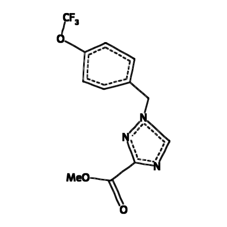 COC(=O)c1ncn(Cc2ccc(OC(F)(F)F)cc2)n1